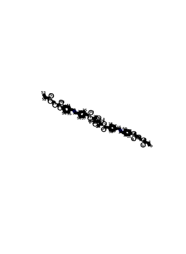 C=CC(=O)OCOC(=O)Oc1ccc(/C=C/c2ccc(C(=O)O[C@H]3CO[C@H]4[C@@H]3OC[C@H]4OC(=O)c3ccc(/C=C/c4ccc(OC(=O)OCOC(=O)C=C)cc4)cc3)cc2)cc1